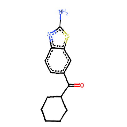 Nc1nc2ccc(C(=O)C3CCCCC3)cc2s1